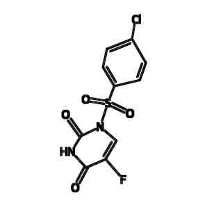 O=c1[nH]c(=O)n(S(=O)(=O)c2ccc(Cl)cc2)cc1F